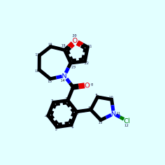 O=C(c1ccccc1C1CCN(Cl)C1)N1CCCCc2occc21